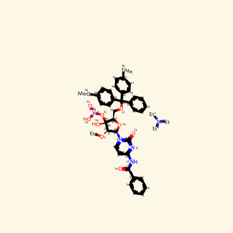 CCN(CC)CC.CCO[C@H]1[C@H](n2ccc(NC(=O)c3ccccc3)nc2=O)O[C@H](COC(c2ccccc2)(c2ccc(OC)cc2)c2ccc(OC)cc2)[C@@]1(O)O[PH](=O)O